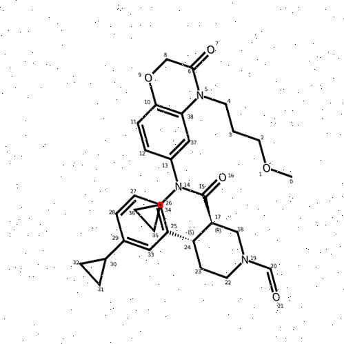 COCCCN1C(=O)COc2ccc(N(C(=O)[C@H]3CN(C=O)CC[C@@H]3c3cccc(C4CC4)c3)C3CC3)cc21